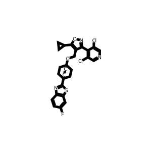 Fc1ccc2nc(C34CCC(OCc5c(-c6c(Cl)cncc6Cl)noc5C5CC5)(CC3)CC4)sc2c1